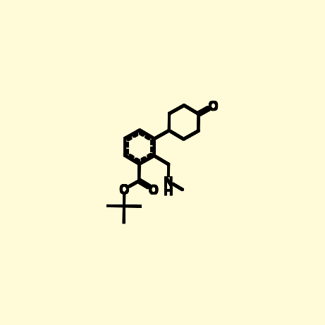 CNCc1c(C(=O)OC(C)(C)C)cccc1C1CCC(=O)CC1